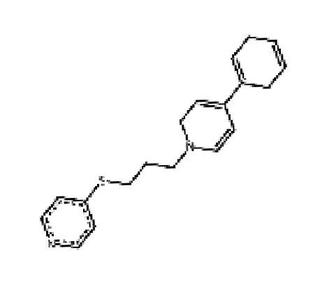 C1=CCC(C2=CCN(CCCSc3ccncc3)C=C2)=CC1